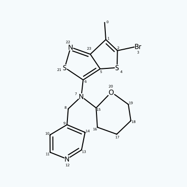 Cc1c(Br)sc2c(N(Cc3ccncc3)C3CCCCO3)snc12